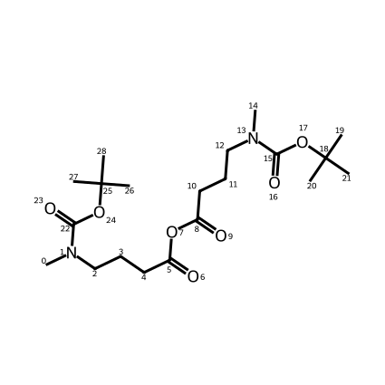 CN(CCCC(=O)OC(=O)CCCN(C)C(=O)OC(C)(C)C)C(=O)OC(C)(C)C